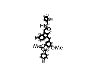 COc1cc(/C=C2/C(C)=C(CC(=O)NCc3cccn3C)c3cc(F)ccc32)cc(OC)c1OC(=O)N1CCN(C)CC1